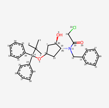 CC(C)(C)[Si](OC1C[C@@H](O)[C@H](N(Cc2ccccc2)C(=O)CCl)C1)(c1ccccc1)c1ccccc1